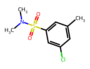 Cc1cc(Cl)cc(S(=O)(=O)N(C)C)c1